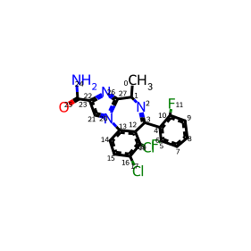 CC1N=C(c2c(F)cccc2F)c2c(ccc(Cl)c2Cl)-n2cc(C(N)=O)nc21